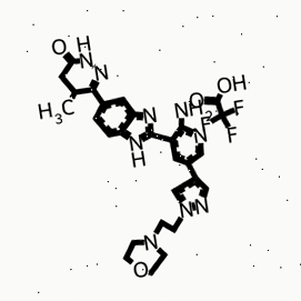 CC1CC(=O)NN=C1c1ccc2[nH]c(-c3cc(-c4cnn(CCN5CCOCC5)c4)cnc3N)nc2c1.O=C(O)C(F)(F)F